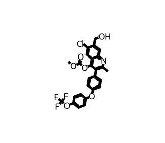 COC(=O)Oc1c(-c2ccc(Oc3ccc(OC(F)(F)F)cc3)cc2)c(C)nc2cc(CO)c(Cl)cc12